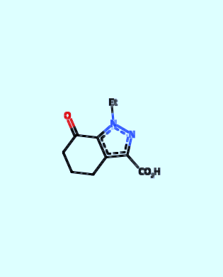 CCn1nc(C(=O)O)c2c1C(=O)CCC2